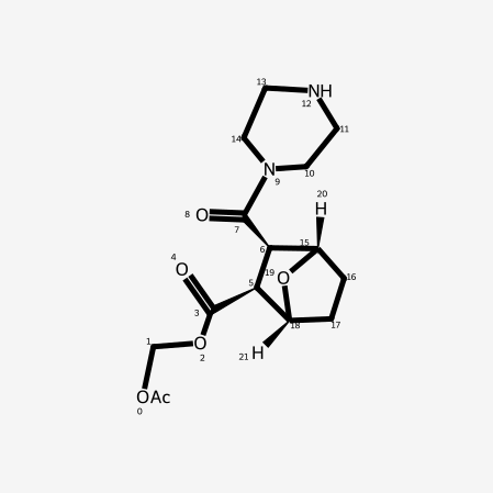 CC(=O)OCOC(=O)[C@H]1[C@@H](C(=O)N2CCNCC2)[C@@H]2CC[C@H]1O2